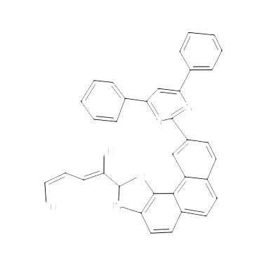 C/C=C\C=C(/C)C1Nc2ccc3ccc4ccc(-c5nc(-c6ccccc6)cc(-c6ccccc6)n5)cc4c3c2O1